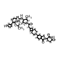 CC(C)Oc1c(-c2cn[nH]c2)ncc2nc(N[C@H]3CCN(C(=O)CC4CC5(CCN(c6ccc7c(c6)CN(C6CCC(=O)NC6=O)C7=O)CC5)C4)C[C@H]3C)nn12